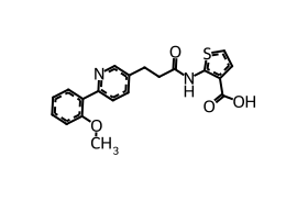 COc1ccccc1-c1ccc(CCC(=O)Nc2sccc2C(=O)O)cn1